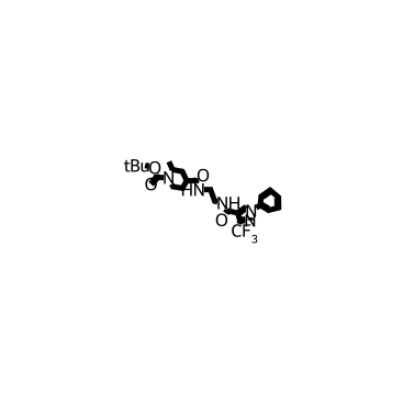 CC1CC(C(=O)NCCNC(=O)c2cn(-c3ccccc3)nc2C(F)(F)F)CCN1C(=O)OC(C)(C)C